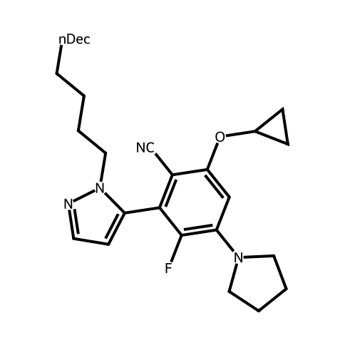 CCCCCCCCCCCCCCn1nccc1-c1c(F)c(N2CCCC2)cc(OC2CC2)c1C#N